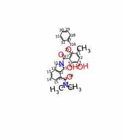 Cc1cc(O)c(O)c(C(=O)N2Cc3cccc(C(=O)N(C)C)c3C2)c1OCc1ccccc1